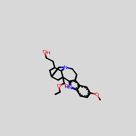 CCOC(=O)C12CC3CC(CCO)C1N(CCc1c2[nH]c2ccc(OC)cc12)C3